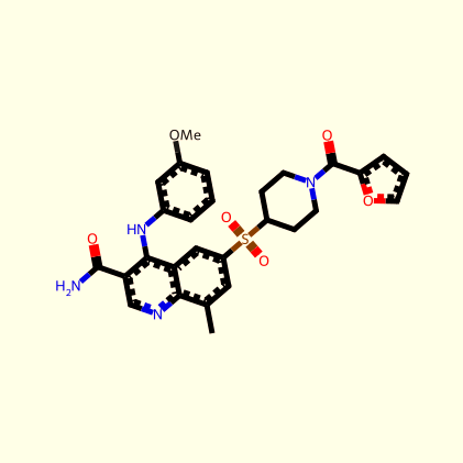 COc1cccc(Nc2c(C(N)=O)cnc3c(C)cc(S(=O)(=O)C4CCN(C(=O)c5ccco5)CC4)cc23)c1